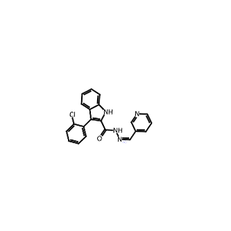 O=C(N/N=C\c1cccnc1)c1[nH]c2ccccc2c1-c1ccccc1Cl